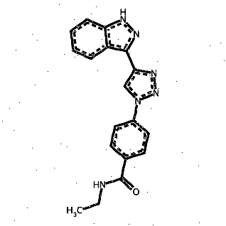 CCNC(=O)c1ccc(-n2cc(-c3n[nH]c4ccccc34)nn2)cc1